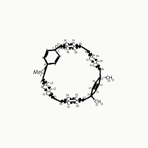 COC12C=C[C@](OC)(C=C1)c1ccc(cc1)-c1ccc(cc1)C1(C)C=C[C@@](C)(C=C1)c1ccc(cc1)-c1ccc2cc1